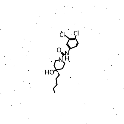 CCCCCC1(O)CCN(C(=O)Nc2ccc(Cl)c(Cl)c2)CC1